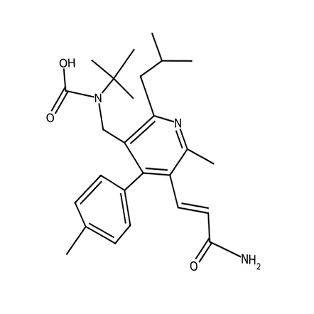 Cc1ccc(-c2c(/C=C/C(N)=O)c(C)nc(CC(C)C)c2CN(C(=O)O)C(C)(C)C)cc1